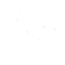 C/C(=C\n1c2c(c3cc(C)ccc31)CCN(C)C2)c1ccncn1